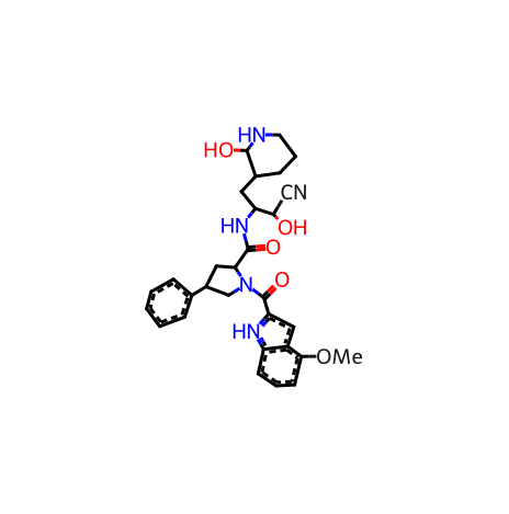 COc1cccc2[nH]c(C(=O)N3CC(c4ccccc4)CC3C(=O)NC(CC3CCCNC3O)C(O)C#N)cc12